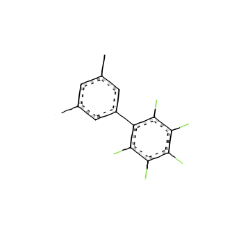 Cc1cc(-c2c(F)c(F)c(F)c(F)c2F)cc(C(F)(F)F)c1